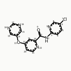 O=C(Nc1ccc(Cl)cn1)c1cc(Oc2cncnc2)ccn1